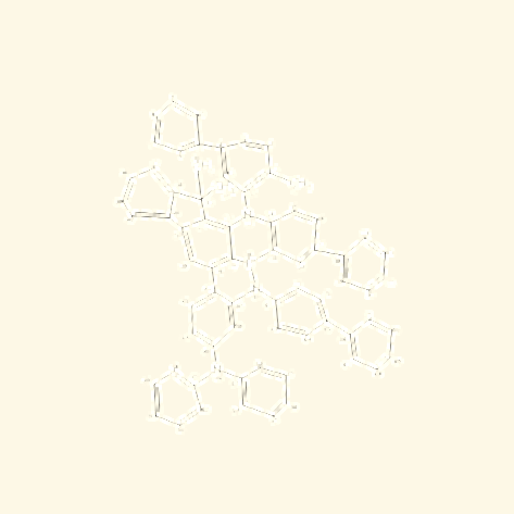 Cc1ccc(-c2ccccc2)cc1N1c2ccc(-c3ccccc3)cc2B2c3c(cc4c(c31)C(C)(C)c1ccccc1-4)-c1ccc(N(c3ccccc3)c3ccccc3)cc1N2c1ccc(-c2ccccc2)cc1